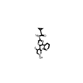 O=C(Nc1cnc(-c2c(F)c[n+](O)cc2F)c(-c2cccnc2)n1)C1CC1